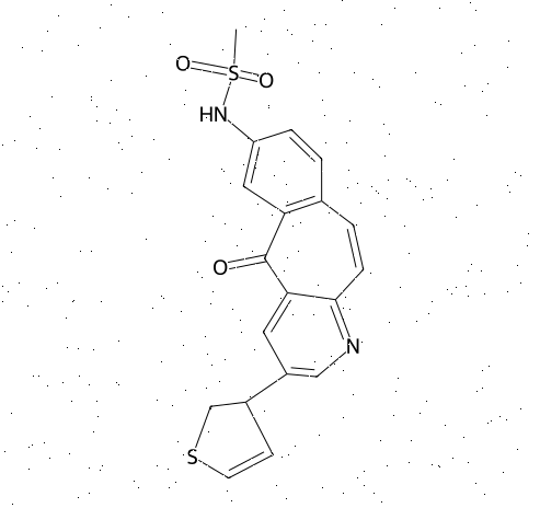 CS(=O)(=O)Nc1ccc2ccc3ncc(C4C=CSC4)cc3c(=O)c2c1